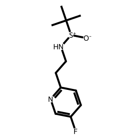 CC(C)(C)[S+]([O-])NCCc1ccc(F)cn1